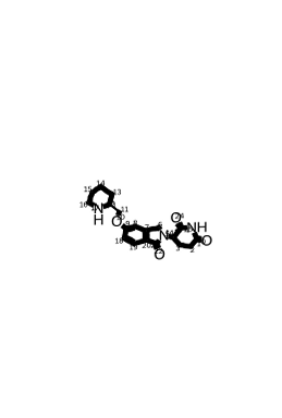 O=C1CCC(N2Cc3cc(OC[C@@H]4CCCCN4)ccc3C2=O)C(=O)N1